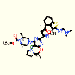 C[C@H](Oc1nc(-c2cc([C@@]3(C)CCCc4sc(/N=C/N(C)C)c(C#N)c43)on2)nc(N2C[C@H](C)N(C(=O)OC(C)(C)C)[C@@H](C)C2)c1Cl)[C@@H]1CCCN1C